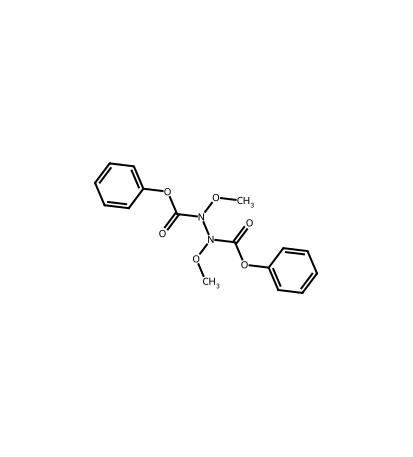 CON(C(=O)Oc1ccccc1)N(OC)C(=O)Oc1ccccc1